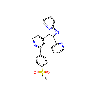 CS(=O)(=O)c1ccc(-c2cc(-c3c(-c4ccccn4)nc4ccccn34)ccn2)cc1